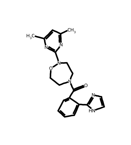 Cc1cc(C)nc(N2CCN(C(=O)c3ccccc3-c3ncc[nH]3)CCO2)n1